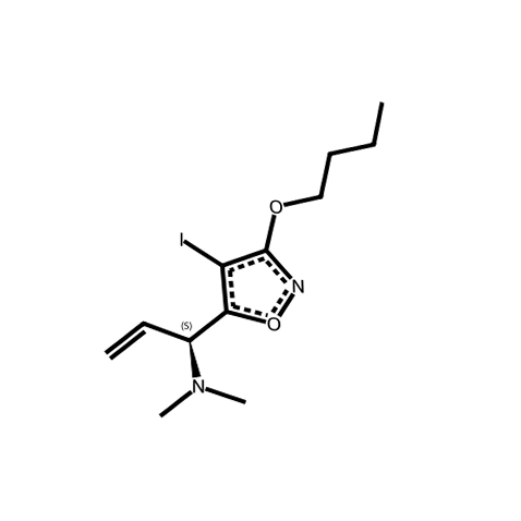 C=C[C@@H](c1onc(OCCCC)c1I)N(C)C